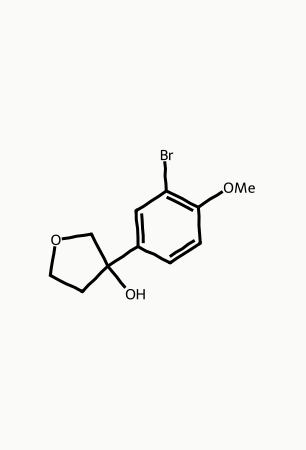 COc1ccc(C2(O)CCOC2)cc1Br